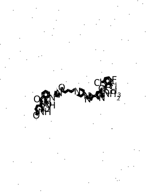 C[C@@H](Oc1cc(-c2cnn(C3CCN(CCCCC(=O)N4CC(Nc5cccc6c5C(=O)N(C5CCC(=O)NC5=O)C6=O)C4)CC3)c2)cnc1N)c1c(Cl)ccc(F)c1Cl